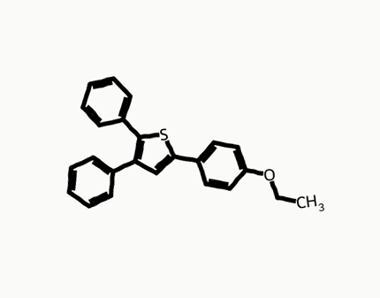 CCOc1ccc(-c2cc(-c3ccccc3)c(-c3ccccc3)s2)cc1